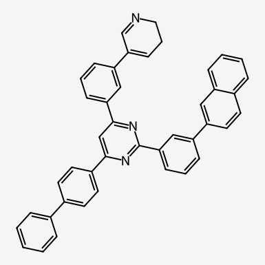 C1=NCCC=C1c1cccc(-c2cc(-c3ccc(-c4ccccc4)cc3)nc(-c3cccc(-c4ccc5ccccc5c4)c3)n2)c1